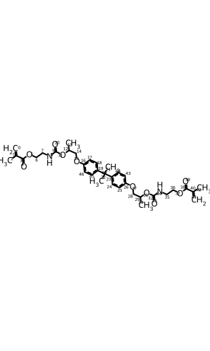 C=C(C)C(=O)OCCNC(=O)OC(C)COc1ccc(C(C)(C)c2ccc(OCC(C)OC(=O)NCCOC(=O)C(=C)C)cc2)cc1